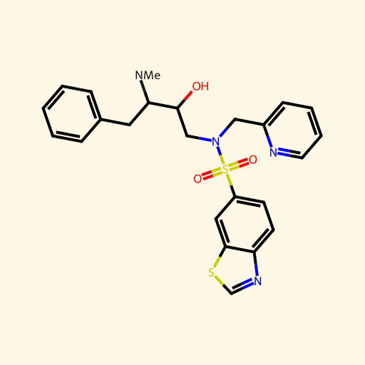 CNC(Cc1ccccc1)C(O)CN(Cc1ccccn1)S(=O)(=O)c1ccc2ncsc2c1